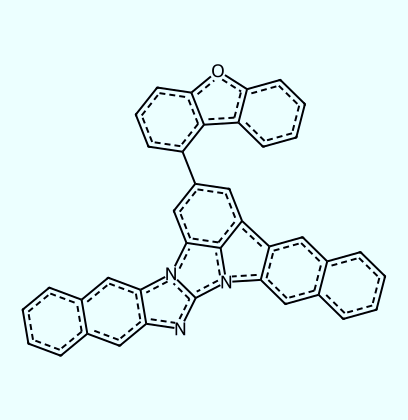 c1ccc2cc3c(cc2c1)nc1n3c2cc(-c3cccc4oc5ccccc5c34)cc3c4cc5ccccc5cc4n1c32